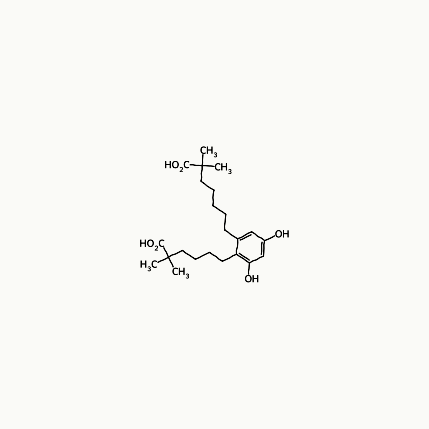 CC(C)(CCCCCc1cc(O)cc(O)c1CCCCC(C)(C)C(=O)O)C(=O)O